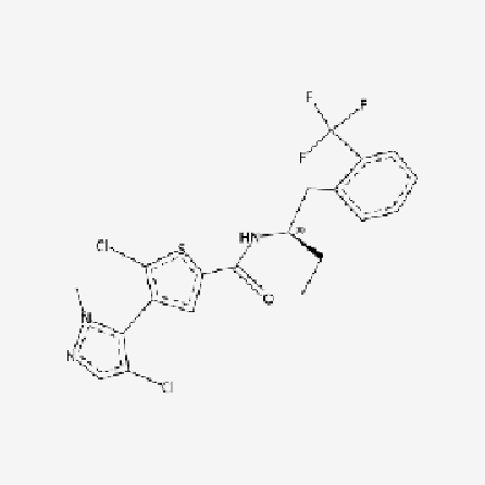 CC[C@H](Cc1ccccc1C(F)(F)F)NC(=O)c1cc(-c2c(Cl)cnn2C)c(Cl)s1